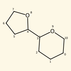 C1CC[C](C2CCCO2)OC1